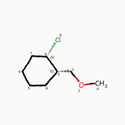 COC[C@@H]1CCCC[C@@H]1Cl